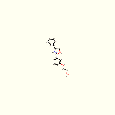 OCCOc1cccc(C2=NC(c3ccccc3)CO2)c1